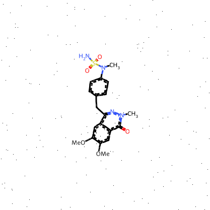 COc1cc2c(Cc3ccc(N(C)S(N)(=O)=O)cc3)nn(C)c(=O)c2cc1OC